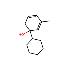 CC1=CC(O)(C2CCCCC2)CC=C1